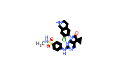 CNS(=O)(=O)c1ccc(Nc2ncc3c(n2)N(c2cc4c(cc2Cl)CNCC4)C(=O)C32CC2)cc1